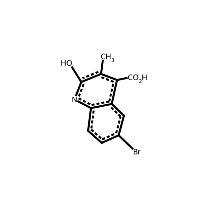 Cc1c(O)nc2ccc(Br)cc2c1C(=O)O